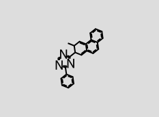 CC1C=c2c(ccc3ccccc23)=CC1c1ncnc(-c2ccccc2)n1